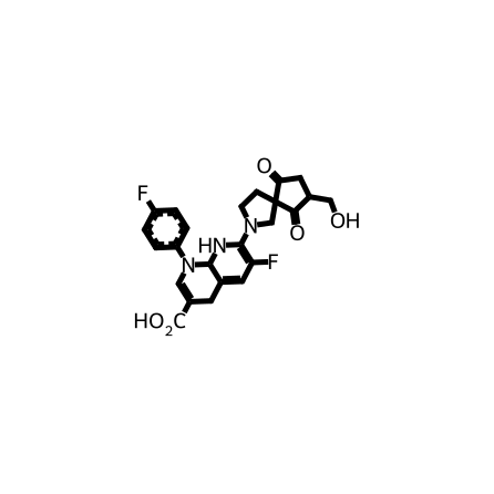 O=C(O)C1=CN(c2ccc(F)cc2)C2NC(N3CCC4(C3)C(=O)CC(CO)C4=O)=C(F)C=C2C1